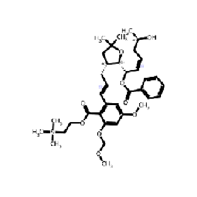 COCOc1cc(OC)cc(/C=C/C[C@@H]2CC(C)(C)O[C@@H]2C(/C=C\C[C@@H](C)O)OC(=O)c2ccccc2)c1C(=O)OCC[Si](C)(C)C